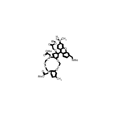 CNCc1ccc2c(-c3cc4c(cc3OCC(=O)OC(C)(C)C)N(CC(=O)OC)CCOCCN(CC(=O)OC)c3ccc(C)cc3OCCO4)c3ccc(=[N+](C)C)cc-3oc2c1